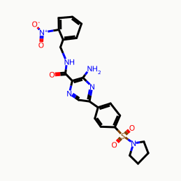 Nc1nc(-c2ccc(S(=O)(=O)N3CCCC3)cc2)cnc1C(=O)NCc1ccccc1[N+](=O)[O-]